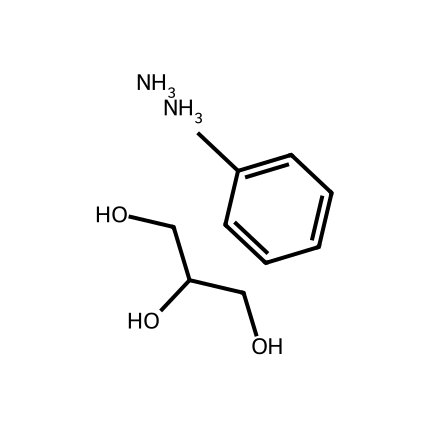 Cc1ccccc1.N.N.OCC(O)CO